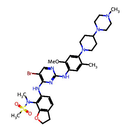 COc1cc(N2CCC(N3CCN(C)CC3)CC2)c(C)cc1Nc1ncc(Br)c(Nc2ccc3c(c2N(C)S(C)(=O)=O)OCC3)n1